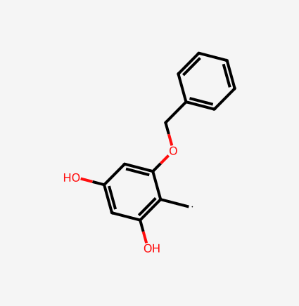 [CH2]c1c(O)cc(O)cc1OCc1ccccc1